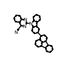 N#Cc1nc(-n2c3ccccc3c3cc(-c4ccc5c6c(cccc46)-c4ccccc4-5)ccc32)nc2ccccc12